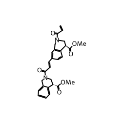 C=CC(=O)N1Cc2cc(/C=C/C(=O)N3Cc4ccccc4[C@@H](C(=O)OC)C3)ccc2[C@H](C(=O)OC)C1